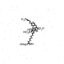 CC#CCOc1ccc(C[C@H](NC(=O)[C@@H](C=CCCCCCCC(O)CCCCCCC)[C@@](O)(CC(=O)O)C(=O)O)C(=O)O)cc1